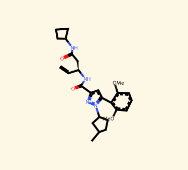 C=C[C@@H](CC(=O)NC1CCC1)NC(=O)c1cc(-c2c(OC)cccc2OC)n(C2CCC(C)C2)n1